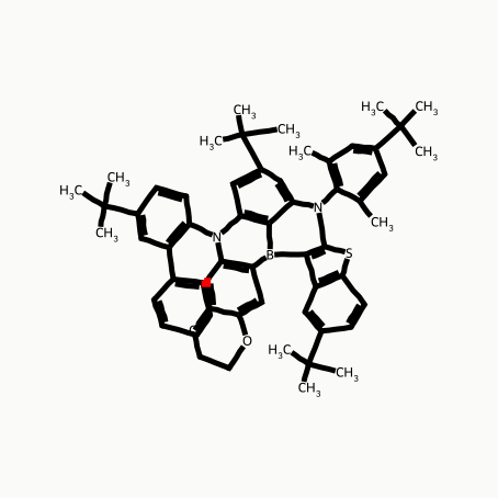 Cc1cc(C(C)(C)C)cc(C)c1N1c2cc(C(C)(C)C)cc3c2B(c2cc4c(cc2N3c2ccc(C(C)(C)C)cc2-c2ccccc2)OCCO4)c2c1sc1ccc(C(C)(C)C)cc21